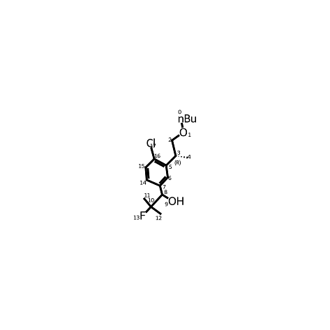 CCCCOC[C@H](C)c1cc(C(O)C(C)(C)F)ccc1Cl